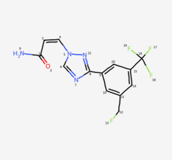 NC(=O)/C=C\n1cnc(-c2cc(CF)cc(C(F)(F)F)c2)n1